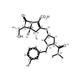 C[C@@H](O)[C@H]1C(=O)N2C(C(=O)O)=C(S[C@H]3C[C@@H](C(=O)N(C)C)N(Cc4cccc(F)c4)C3)[C@H](C)[C@H]12